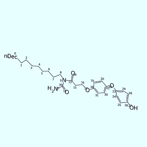 CCCCCCCCCCCCCCCCCCN(C(N)=O)C(=O)CCOc1ccc(Oc2ccc(O)cc2)cc1